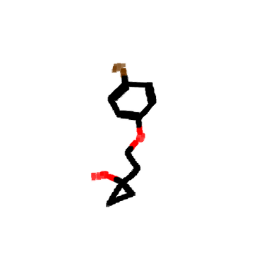 OC1(CCOc2ccc(Br)cc2)CC1